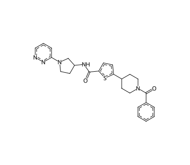 O=C(NC1CCN(c2cccnn2)C1)c1ccc(C2CCN(C(=O)c3ccccc3)CC2)s1